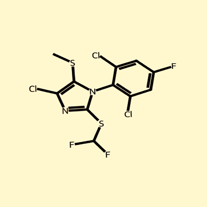 CSc1c(Cl)nc(SC(F)F)n1-c1c(Cl)cc(F)cc1Cl